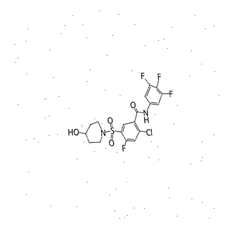 O=C(Nc1cc(F)c(F)c(F)c1)c1cc(S(=O)(=O)N2CCC(O)CC2)c(F)cc1Cl